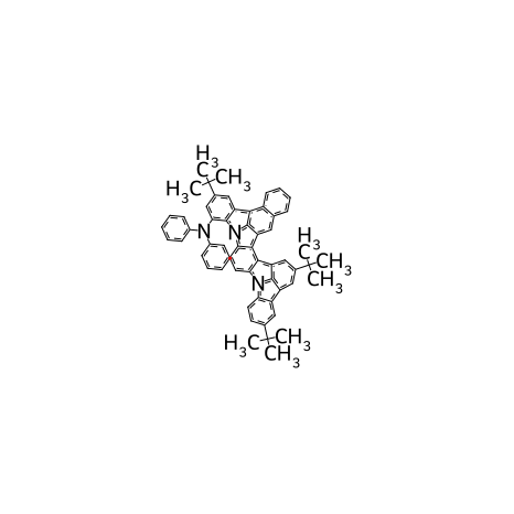 CC(C)(C)c1ccc2c(c1)c1cc(C(C)(C)C)cc3c4c5c6cc7ccccc7c7c8cc(C(C)(C)C)cc(N(c9ccccc9)c9ccccc9)c8n(c5ccc4n2c13)c67